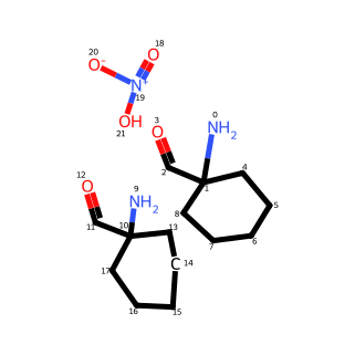 NC1(C=O)CCCCC1.NC1(C=O)CCCCC1.O=[N+]([O-])O